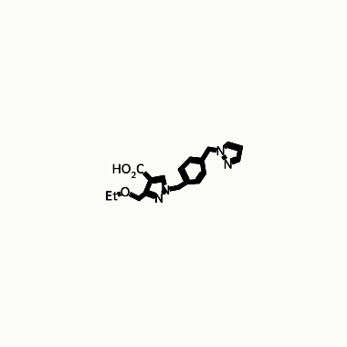 CCOCc1nn(Cc2ccc(Cn3cccn3)cc2)cc1C(=O)O